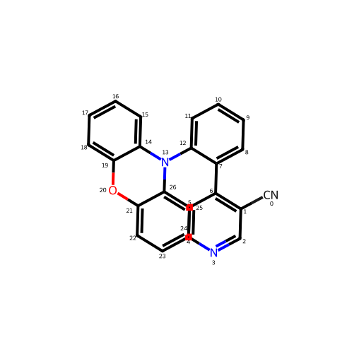 N#Cc1cnccc1-c1ccccc1N1c2ccccc2Oc2ccccc21